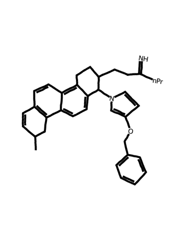 CCCC(=N)CCC1CCc2c(ccc3c4c(ccc23)C=CC(C)C4)C1n1ccc(OCc2ccccc2)c1